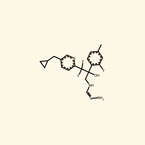 Cc1ccc(C(O)(CN/C=N\N)C(F)(F)c2ccc(CC3CC3)cn2)c(F)c1